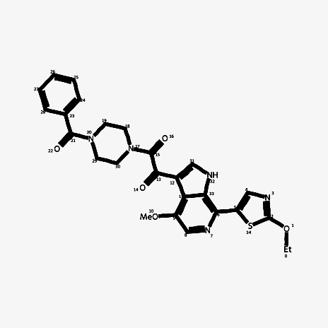 CCOc1ncc(-c2ncc(OC)c3c(C(=O)C(=O)N4CCN(C(=O)c5ccccc5)CC4)c[nH]c23)s1